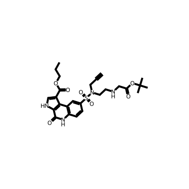 C#CCN(CCNCC(=O)OC(C)(C)C)S(=O)(=O)c1ccc2[nH]c(=O)c3[nH]cc(C(=O)OCCC)c3c2c1